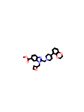 COC(=O)c1ccc2nc(CN3CC=C(c4cccc5c4OCCO5)CC3)n(CC3CCO3)c2c1